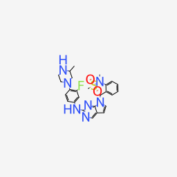 CC1CN(c2ccc(Nc3ncc4ccn(Cc5ccccc5N(C)S(C)(=O)=O)c4n3)cc2F)CCN1